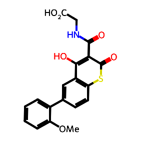 COc1ccccc1-c1ccc2sc(=O)c(C(=O)NCC(=O)O)c(O)c2c1